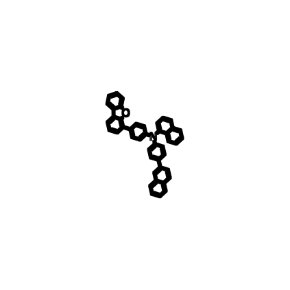 c1ccc2cc(-c3ccc(N(c4ccc(-c5cccc6c5oc5ccccc56)cc4)c4cccc5ccccc45)cc3)ccc2c1